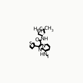 CC(C)C[C@@H](CO)NC(=O)c1c(-c2ccsc2)nc2c(NI)cccn12